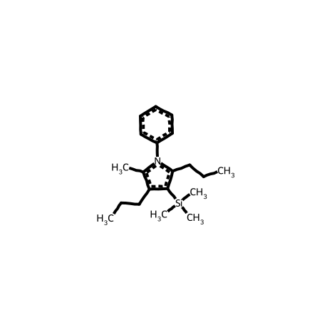 CCCc1c([Si](C)(C)C)c(CCC)n(-c2ccccc2)c1C